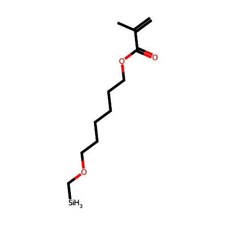 C=C(C)C(=O)OCCCCCCOC[SiH3]